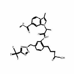 CNC(=O)c1ccc2c(C)cn(C(C)C(=O)Nc3cc(Cn4nnc(C(F)(F)F)n4)ccc3CCCC(=O)O)c2c1